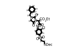 CCCCCCCCCCCCS(=O)(=O)c1ccc(NC(=O)C(C(=O)OCC)N2C(=O)CN(Cc3ccccc3)C2=O)c(Cl)c1